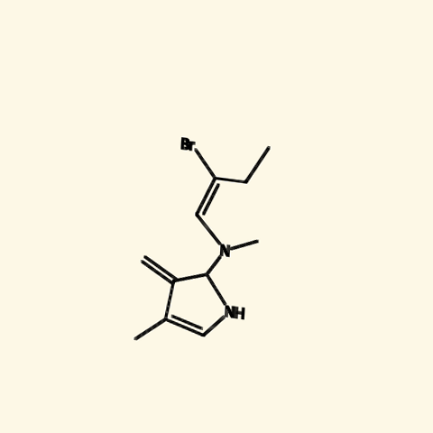 C=C1C(C)=CNC1N(C)/C=C(/Br)CC